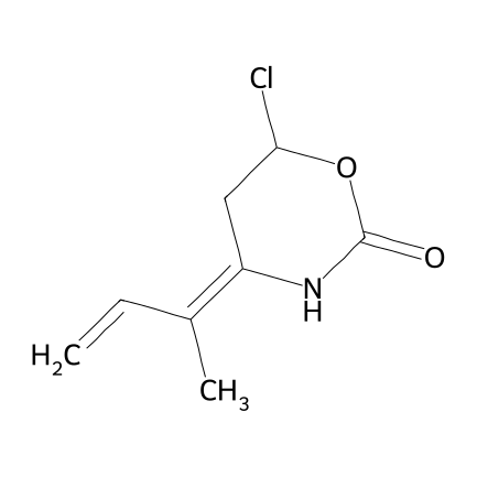 C=C/C(C)=C1\CC(Cl)OC(=O)N1